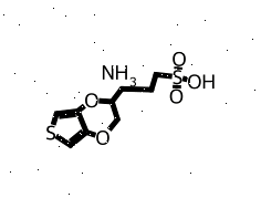 N.O=S(=O)(O)CCCC1COc2cscc2O1